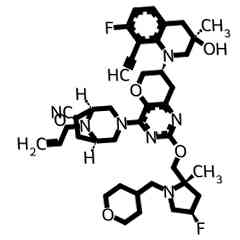 C#Cc1c(F)ccc2c1N([C@H]1COc3c(nc(OC[C@]4(C)C[C@@H](F)CN4CC4CCOCC4)nc3N3C[C@H]4CC(C#N)[C@@H](C3)N4C(=O)C=C)C1)C[C@](C)(O)C2